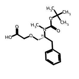 CN(C(=O)OC(C)(C)C)[C@@H](COCC(=O)O)Cc1ccccc1